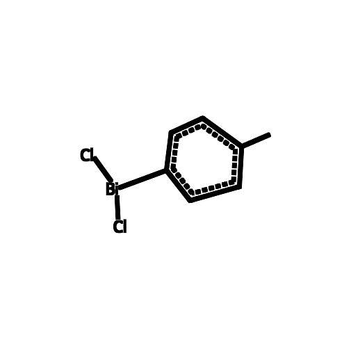 Cc1cc[c]([Bi]([Cl])[Cl])cc1